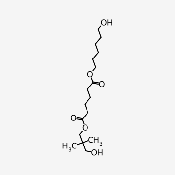 CC(C)(CO)COC(=O)CCCCC(=O)OCCCCCCO